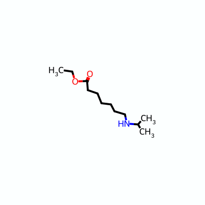 CCOC(=O)CCCCCCNC(C)C